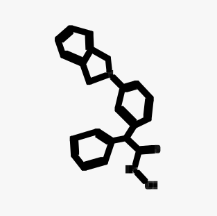 O=C(NO)C(c1ccccc1)c1cccc(N2Cc3ccccc3C2)c1